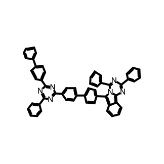 c1ccc(-c2ccc(-c3nc(-c4ccccc4)nc(-c4ccc(-c5ccc(-c6c7ccccc7c7nc(-c8ccccc8)nc(-c8ccccc8)n67)cc5)cc4)n3)cc2)cc1